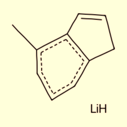 Cc1cccc2c1C=CC2.[LiH]